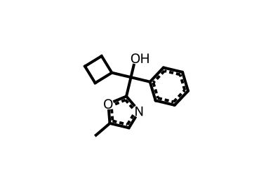 Cc1cnc(C(O)(c2ccccc2)C2CCC2)o1